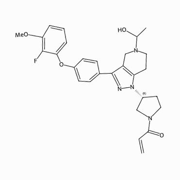 C=CC(=O)N1CC[C@@H](n2nc(-c3ccc(Oc4cccc(OC)c4F)cc3)c3c2CCN(C(C)O)C3)C1